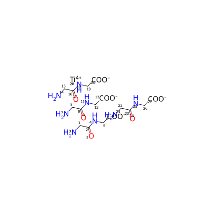 NCC(=O)NCC(=O)[O-].NCC(=O)NCC(=O)[O-].NCC(=O)NCC(=O)[O-].NCC(=O)NCC(=O)[O-].[Ti+4]